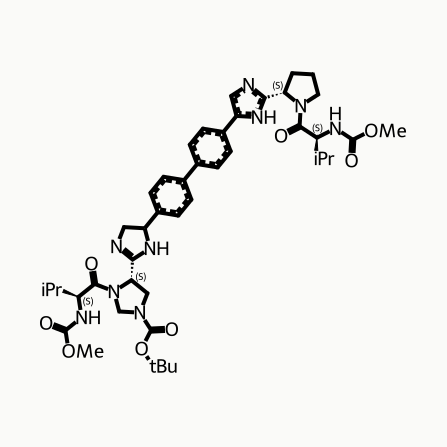 COC(=O)N[C@H](C(=O)N1CN(C(=O)OC(C)(C)C)C[C@H]1C1=NCC(c2ccc(-c3ccc(-c4cnc([C@@H]5CCCN5C(=O)[C@@H](NC(=O)OC)C(C)C)[nH]4)cc3)cc2)N1)C(C)C